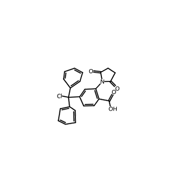 O=C(O)c1ccc(C(Cl)(c2ccccc2)c2ccccc2)cc1N1C(=O)CCC1=O